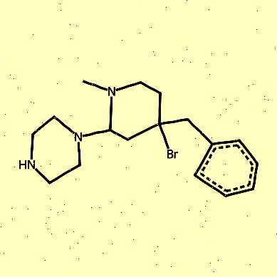 CN1CCC(Br)(Cc2ccccc2)CC1N1CCNCC1